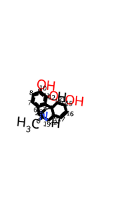 CN1CC[C@]23c4c5ccc(O)c4O[C@H]2[C@@H](O)C=C[C@H]3C1C5